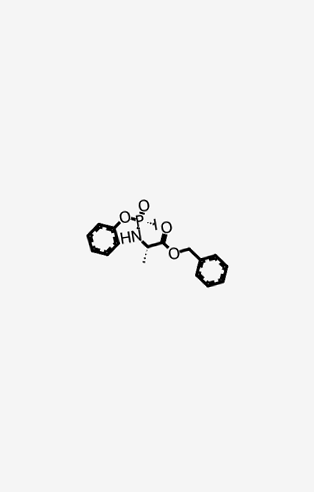 C[C@H](N[P@@](=O)(I)Oc1ccccc1)C(=O)OCc1ccccc1